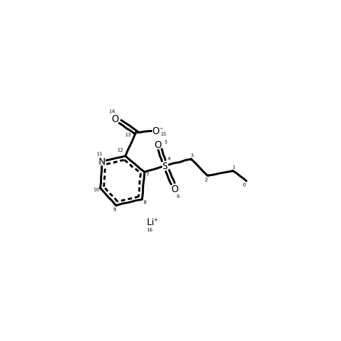 CCCCS(=O)(=O)c1cccnc1C(=O)[O-].[Li+]